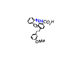 COc1cccc(CCc2ccc(C(=O)O)c(Nc3ccccc3C)c2)c1